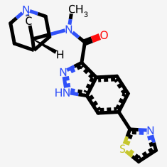 CN(C(=O)c1n[nH]c2cc(-c3nccs3)ccc12)[C@H]1CN2CCC1CC2